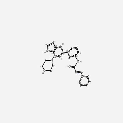 O=C(/C=C/c1ccccc1)Oc1cccc(-c2nc(N3CCOCC3)c3sccc3n2)c1